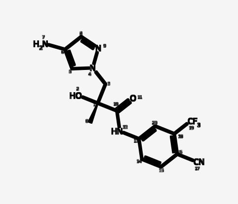 C[C@@](O)(Cn1cc(N)cn1)C(=O)Nc1ccc(C#N)c(C(F)(F)F)c1